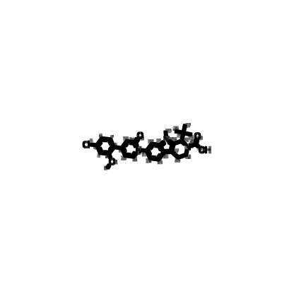 COc1cc(Cl)ccc1-c1ccn(-c2ccc3c4c(n(C)c3c2)C(C(C)(C)C)N(C(=O)O)CC4)c(=O)c1